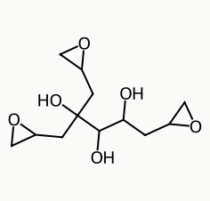 OC(CC1CO1)C(O)C(O)(CC1CO1)CC1CO1